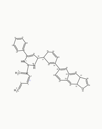 C=C/C=C\C(=C)C1NC(c2ccccc2)=CC(C2C=C(c3ccc4c(c3)=CC3C=COC3C=4)C=CC2)N1